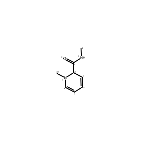 CNC(=O)C1C=CC=CN1C